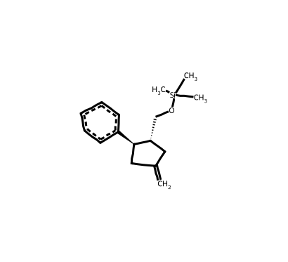 C=C1C[C@@H](CO[Si](C)(C)C)[C@H](c2ccccc2)C1